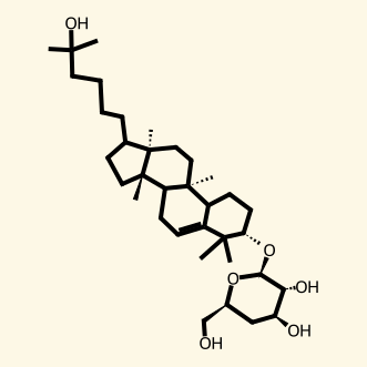 CC(C)(O)CCCCC1CC[C@@]2(C)C3CC=C4C(CC[C@H](O[C@@H]5O[C@H](CO)C[C@H](O)[C@H]5O)C4(C)C)[C@]3(C)CC[C@]12C